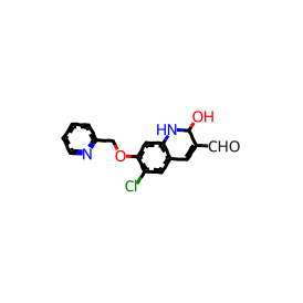 O=CC1=Cc2cc(Cl)c(OCc3ccccn3)cc2NC1O